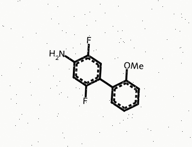 COc1ccccc1-c1cc(F)c(N)cc1F